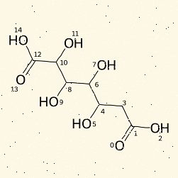 O=C(O)CC(O)C(O)C(O)C(O)C(=O)O